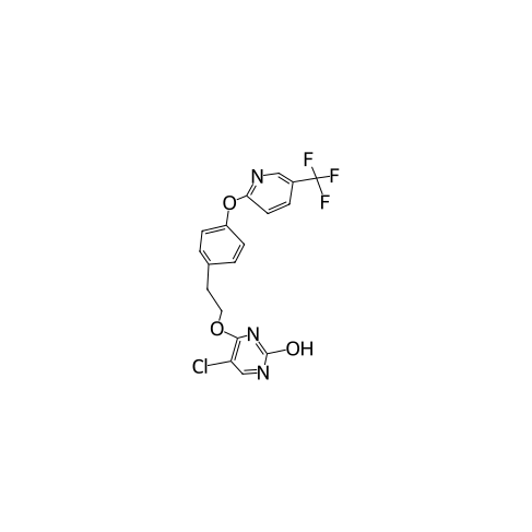 Oc1ncc(Cl)c(OCCc2ccc(Oc3ccc(C(F)(F)F)cn3)cc2)n1